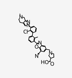 Cc1c(-c2nc3cc(CN4CCC(C(=O)O)C4)cc(C#N)c3o2)cccc1-c1cccc(-n2cc3c(n2)CN(C)CC3)c1Cl